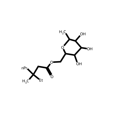 CCCC(C)(CC)CC(=O)OCC1OC(C)C(O)C(O)C1O